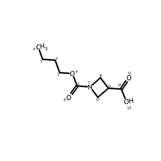 CCCCOC(=O)N1CC(C(=O)O)C1